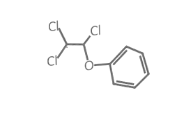 Cl[C](Cl)C(Cl)Oc1ccccc1